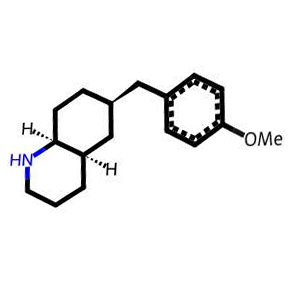 COc1ccc(C[C@@H]2CC[C@@H]3NCCC[C@@H]3C2)cc1